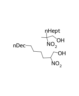 CCCCCCCC(C)(CO)[N+](=O)[O-].CCCCCCCCCCCCCCC(CO)[N+](=O)[O-]